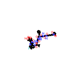 CC[C@@]1(O)C(=O)OCc2c1cc1n(c2=O)Cc2c-1nc1cc(F)c(C)c3c1c2[C@@H](NC(=O)[C@H](OCNC(=O)CNC(=O)[C@H](CCc1ccccc1)NC(=O)CNC(=O)CNC(=O)CCCCCN1C(=O)C=CC1=O)C1CC1)CC3